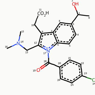 CC(O)c1ccc2c(c1)c(CC(=O)O)c(CN(C)C)n2C(=O)c1ccc(Cl)cc1